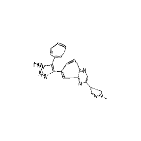 CN1CC(c2cnc3ccc(-c4nn[nH]c4-c4ccccc4)cc3n2)C=N1